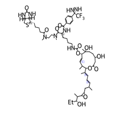 CCC(O)C(C)C1OC1CC(C)/C=C/C=C(\C)C1OC(=O)CC(O)CCC(C)(O)C(OC(=O)NCCCC[C@H](NC(=O)c2ccc(C3(C(F)(F)F)NN3)cc2)C(=O)N(C)CCN(C)C(=O)CCCC[C@@H]2SC[C@@H]3NC(=O)N[C@@H]32)/C=C/C1C